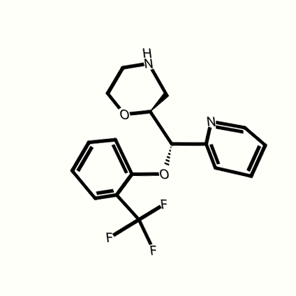 FC(F)(F)c1ccccc1O[C@@H](c1ccccn1)[C@@H]1CNCCO1